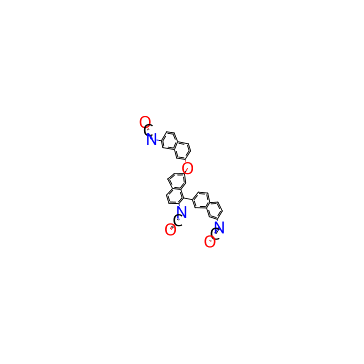 O=C=Nc1ccc2ccc(Oc3ccc4ccc(N=C=O)c(-c5ccc6ccc(N=C=O)cc6c5)c4c3)cc2c1